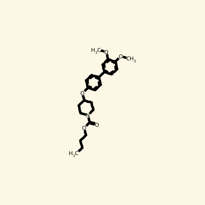 CCCCOC(=O)N1CCC(Oc2ccc(-c3ccc(OC)c(OC)c3)cc2)CC1